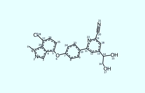 Cn1ncc2c(Oc3ccc(-c4cc(C(O)CO)cc(C#N)n4)cc3)ccc(Cl)c21